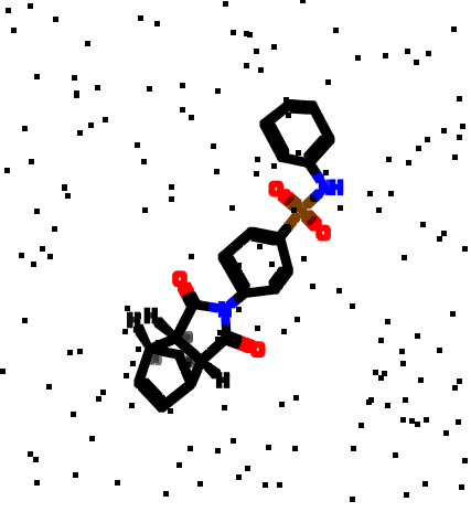 O=C1[C@@H]2[C@H](C(=O)N1c1ccc(S(=O)(=O)Nc3ccccc3)cc1)C1C=C[C@H]2C1